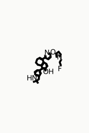 CC1(C)Cc2cc(-c3c(O)ccc4c3CCCC=C4c3ccc(O[C@H]4CCN(CCCF)C4)nc3)ccc2N1